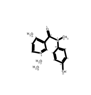 CN(C(=O)c1cccnc1)c1cc[c]([Ge])cc1.O.O.O